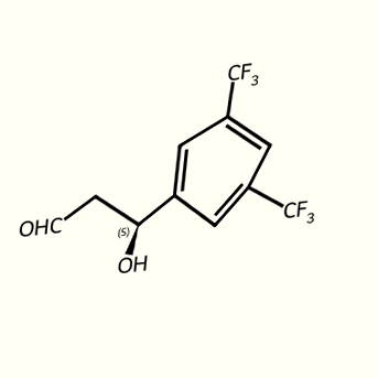 O=CC[C@H](O)c1cc(C(F)(F)F)cc(C(F)(F)F)c1